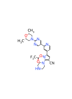 C[C@@H]1CN(c2ncc(-c3cc(-c4cc(C#N)c(N5CCNCC5)n4OC(=O)C(F)(F)F)ccn3)cn2)C[C@H](C)O1